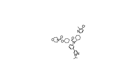 COc1ccc([C@H]2CC[C@H](CN(c3cccc(-c4cnn(C(C)C)c4)c3)C(=O)[C@H]3CC[C@H](OC(=O)N4CCOCC4)CC3)CC2)nc1C